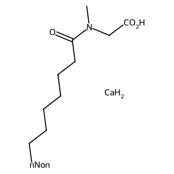 CCCCCCCCCCCCCCCC(=O)N(C)CC(=O)O.[CaH2]